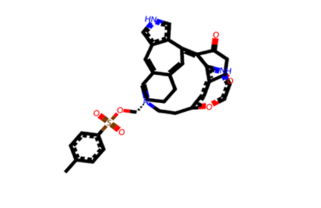 Cc1ccc(S(=O)(=O)OC[C@H]2CCC3=C/C4=C5/C(=O)CC(=O)c6cc(occ[nH]c65)CC/N=C/2C3=Cc2c[nH]cc24)cc1